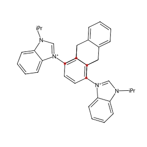 CC(C)n1c[n+](CC2C3c4ccccc4C(c4ccccc43)C2C[n+]2cn(C(C)C)c3ccccc32)c2ccccc21